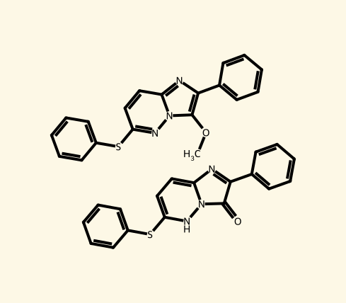 COc1c(-c2ccccc2)nc2ccc(Sc3ccccc3)nn12.O=c1c(-c2ccccc2)nc2ccc(Sc3ccccc3)[nH]n1-2